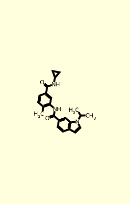 Cc1ccc(C(=O)NC2CC2)cc1NC(=O)c1ccc2ccn(C(C)C)c2c1